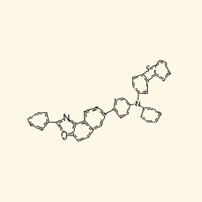 c1ccc(-c2nc3c(ccc4cc(-c5ccc(N(c6ccccc6)c6ccc7sc8ccccc8c7c6)cc5)ccc43)o2)cc1